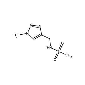 [CH2]n1cc(CNS(C)(=O)=O)nn1